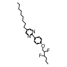 CCCCCCCCCc1cnc(-c2ccc(OCC(F)C(F)CCC)cc2)nc1